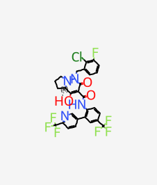 C[C@]12CCCN1N(Cc1cccc(F)c1Cl)C(=O)C(C(=O)Nc1ccc(C(F)(F)F)cc1-c1ccc(C(F)(F)F)nc1)=C2O